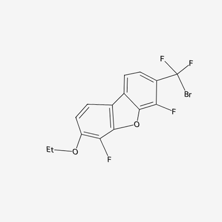 CCOc1ccc2c(oc3c(F)c(C(F)(F)Br)ccc32)c1F